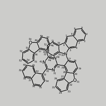 c1ccc2cc3c(cc2c1)c1ccccc1n3-c1ccc2oc3ccccc3c2c1-c1nc(-c2cccc3ccccc23)nc(-c2cccc3oc4ccccc4c23)n1